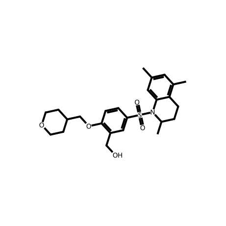 Cc1cc(C)c2c(c1)N(S(=O)(=O)c1ccc(OCC3CCOCC3)c(CO)c1)C(C)CC2